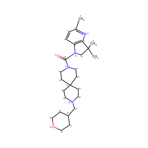 Cc1ccc2c(n1)C(C)(C)CN2C(=O)N1CCC2(CCN(CC3CCOCC3)CC2)CC1